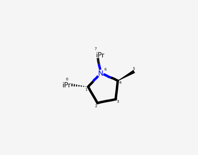 CC(C)[C@H]1CC[C@H](C)N1C(C)C